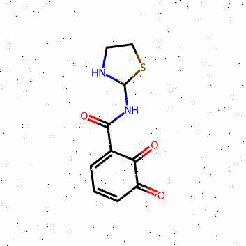 O=C1C=CC=C(C(=O)NC2NCCS2)C1=O